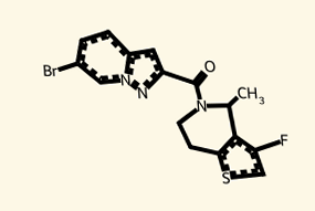 CC1c2c(F)csc2CCN1C(=O)c1cc2ccc(Br)cn2n1